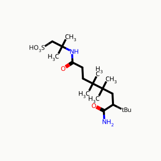 CC(C)(CS(=O)(=O)O)NC(=O)CCC(C)(C)C(C)(C)CC(C(N)=O)C(C)(C)C